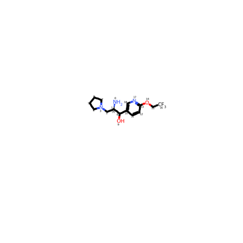 N[C@H](CN1CCCC1)C(O)c1ccc(OCC(F)(F)F)nc1